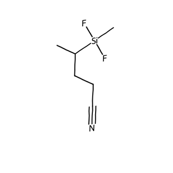 CC(CCC#N)[Si](C)(F)F